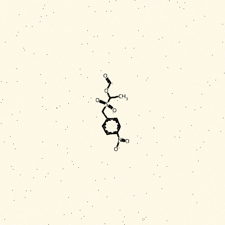 CC(O[C]=O)S(=O)(=O)Cc1ccc([N+](=O)[O-])cc1